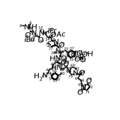 CC[C@H](C)[C@H](NC(=O)[C@H]1CN1C)C(=O)N(C)[C@H](C[C@@H](OC(C)=O)c1nc(C(=O)N(C)[C@@H](Cc2ccc(OP(=O)(O)O)cc2)C(=O)N[C@H](CCCCN)C(=O)N[C@@H](Cc2ccccc2)C(=O)N2CCN(C(=O)CCCN3C(=O)C=CC3=O)CC2)cs1)C(C)C